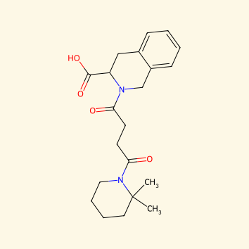 CC1(C)CCCCN1C(=O)CCC(=O)N1Cc2ccccc2CC1C(=O)O